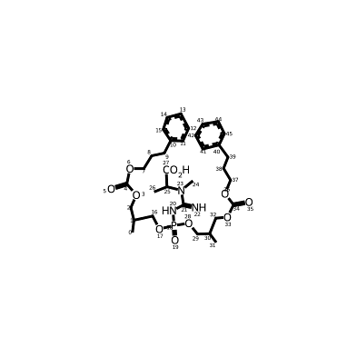 CC(COC(=O)OCCCc1ccccc1)COP(=O)(NC(=N)N(C)C(C)C(=O)O)OCC(C)COC(=O)OCCCc1ccccc1